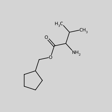 CC(C)C(N)C(=O)OCC1CCCC1